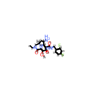 CCN1C[C@@H]2C[C@H](N)c3c(C(=O)NCc4ccc(F)cc4F)c(=O)c(OC)c(n32)C1=O